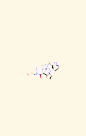 COCCNC(=O)c1nc(N[C@@H](C)c2ccccn2)nc2ccsc12